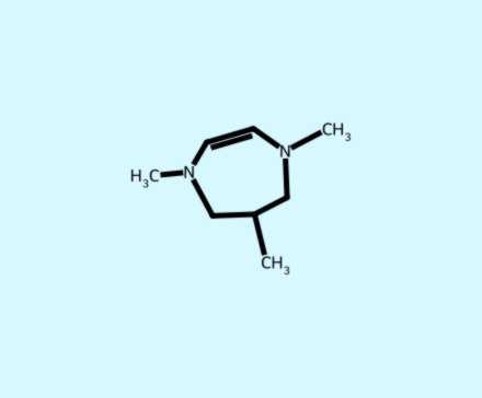 CC1CN(C)C=CN(C)C1